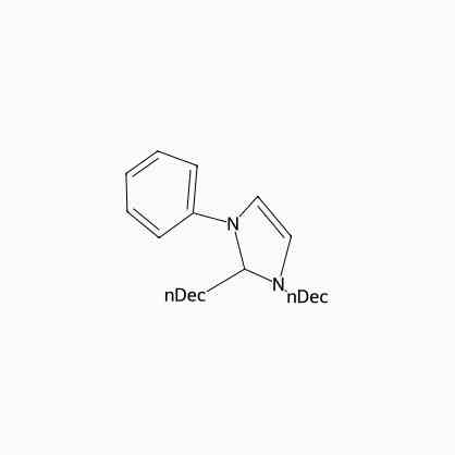 CCCCCCCCCCC1N(CCCCCCCCCC)C=CN1c1ccccc1